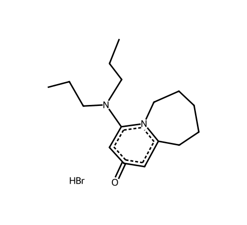 Br.CCCN(CCC)c1cc(=O)cc2n1CCCCC2